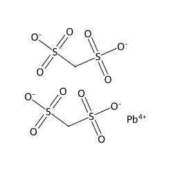 O=S(=O)([O-])CS(=O)(=O)[O-].O=S(=O)([O-])CS(=O)(=O)[O-].[Pb+4]